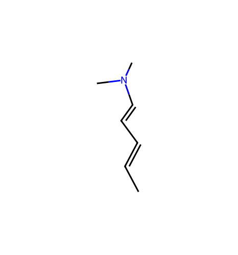 CC=CC=CN(C)C